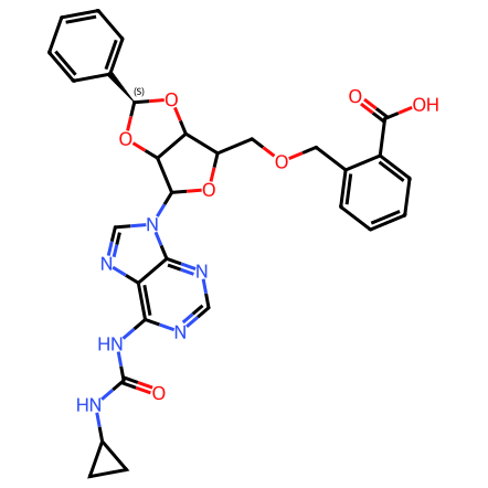 O=C(Nc1ncnc2c1ncn2C1OC(COCc2ccccc2C(=O)O)C2O[C@H](c3ccccc3)OC21)NC1CC1